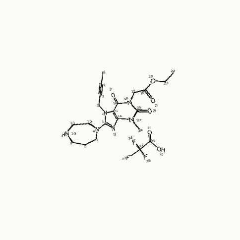 CC#CCn1c(N2CCCNCC2)nc2c1c(=O)n(CC(=O)OCC)c(=O)n2C.O=C(O)C(F)(F)F